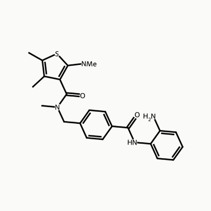 CNc1sc(C)c(C)c1C(=O)N(C)Cc1ccc(C(=O)Nc2ccccc2N)cc1